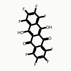 O=C1c2c(F)c(F)c(F)c(F)c2C(=O)c2c1c(O)c1c(F)c(F)c(F)c(F)c1c2O